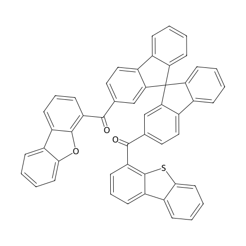 O=C(c1ccc2c(c1)C1(c3ccccc3-2)c2ccccc2-c2ccc(C(=O)c3cccc4c3sc3ccccc34)cc21)c1cccc2c1oc1ccccc12